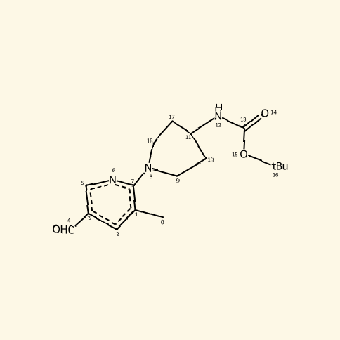 Cc1cc(C=O)cnc1N1CCC(NC(=O)OC(C)(C)C)CC1